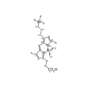 CC1=CC(CCC(=O)O)=[N+]2C1=Cc1c(CCC[N+](C)(C)C)cc(C)n1[B-]2(F)F